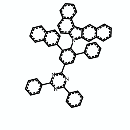 c1ccc(-c2nc(-c3ccccc3)nc(-c3cc(-c4ccccc4)c(-n4c5cc6ccccc6cc5c5c6ccccc6ccc54)c(-c4ccc5ccccc5c4)c3)n2)cc1